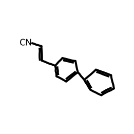 [C-]#[N+]/C=C/c1ccc(-c2ccccc2)cc1